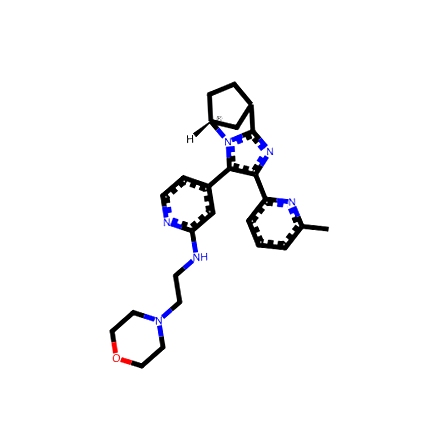 Cc1cccc(-c2nc3n(c2-c2ccnc(NCCN4CCOCC4)c2)[C@@H]2CCC3C2)n1